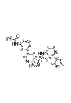 CC(C)C(=O)Nc1cncc(-c2cnc3[nH]nc(-c4cc5c(-c6ccoc6)nccc5[nH]4)c3c2)c1